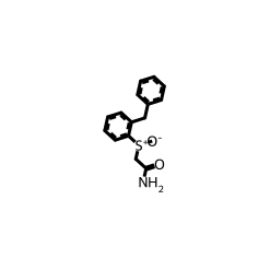 NC(=O)C[S+]([O-])c1ccccc1Cc1ccccc1